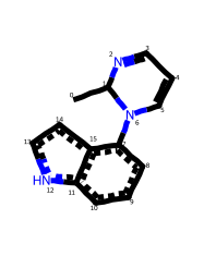 CC1N=CC=CN1c1cccc2[nH]ccc12